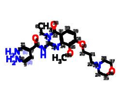 CCn1c(NC(=O)C(/C=C\N)=C/N)nc2c(OC)c(OCCCN3CCOCC3)ccc2c1=O